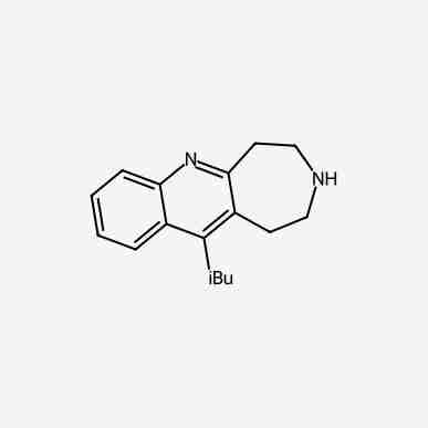 CCC(C)c1c2c(nc3ccccc13)CCNCC2